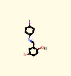 CCOc1ccc(Br)cc1/C=N/c1ccc(I)cc1